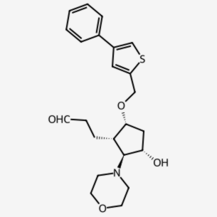 O=CCC[C@H]1[C@H](N2CCOCC2)[C@@H](O)C[C@H]1OCc1cc(-c2ccccc2)cs1